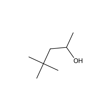 CC(O)CC(C)(C)C